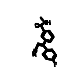 CNC(=O)c1cccc(/C(=C/C#N)c2ccc(F)cc2)c1